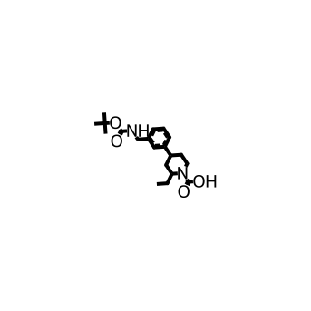 CCC1CC(c2cccc(CNC(=O)OC(C)(C)C)c2)CCN1C(=O)O